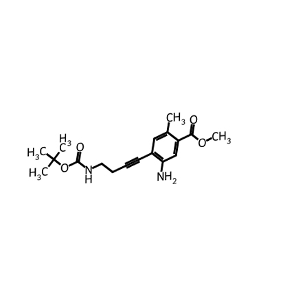 COC(=O)c1cc(N)c(C#CCCNC(=O)OC(C)(C)C)cc1C